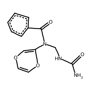 NC(=O)NCN(C(=O)c1ccccc1)C1=COC=CO1